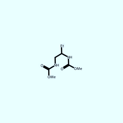 CCC(CNC(=O)OC)NC(=O)OC